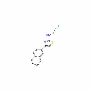 FCCNc1nc(-c2ccc3ccccc3c2)cs1